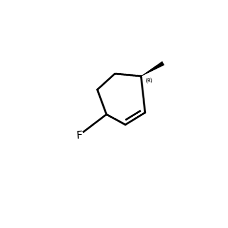 C[C@H]1C=CC(F)CC1